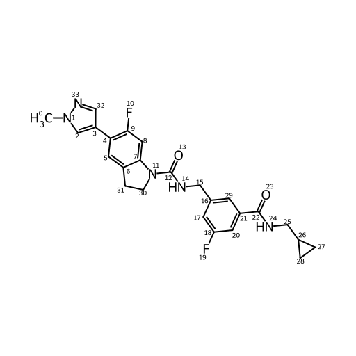 Cn1cc(-c2cc3c(cc2F)N(C(=O)NCc2cc(F)cc(C(=O)NCC4CC4)c2)CC3)cn1